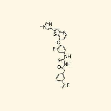 C=C(F)c1cccc(CC(=O)NC(=S)Nc2ccc(Oc3ccnc4cc(-c5cn(C)cn5)sc34)c(F)c2)c1